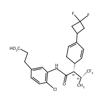 C[C@H]([C@H](C(=O)Nc1cc(CCC(=O)O)ccc1Cl)C1C=CC(C2CC(F)(F)C2)=CC1)C(F)(F)F